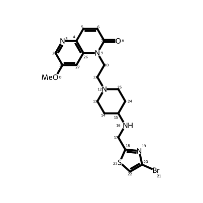 COc1cnc2ccc(=O)n(CCN3CCC(NCc4nc(Br)cs4)CC3)c2c1